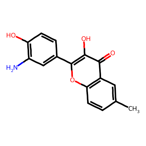 Cc1ccc2oc(-c3ccc(O)c(N)c3)c(O)c(=O)c2c1